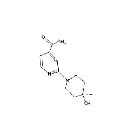 CC1(O)CCN(c2cc(C(N)=O)ccn2)CC1